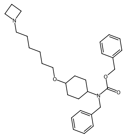 O=C(OCc1ccccc1)N(Cc1ccccc1)C1CCC(OCCCCCCN2CCC2)CC1